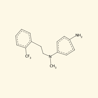 CN(CCc1ccccc1C(F)(F)F)c1ccc(N)cc1